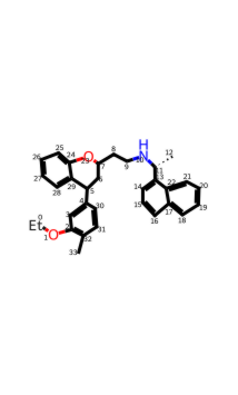 CCOc1cc(C2CC(CCN[C@H](C)c3cccc4ccccc34)Oc3ccccc32)ccc1C